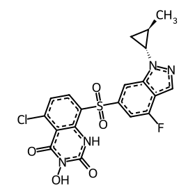 C[C@@H]1C[C@H]1n1ncc2c(F)cc(S(=O)(=O)c3ccc(Cl)c4c(=O)n(O)c(=O)[nH]c34)cc21